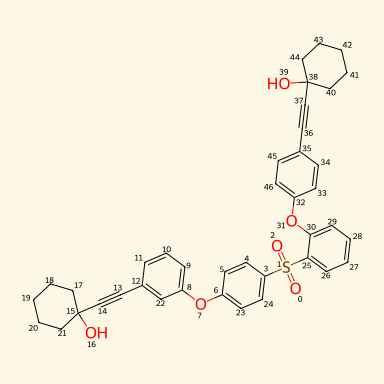 O=S(=O)(c1ccc(Oc2cccc(C#CC3(O)CCCCC3)c2)cc1)c1ccccc1Oc1ccc(C#CC2(O)CCCCC2)cc1